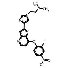 CN(C)CCn1cnc(-c2cc3nccc(Oc4ccc([N+](=O)[O-])cc4F)c3s2)c1